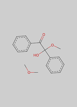 COC.COC(O)(C(=O)c1ccccc1)c1ccccc1